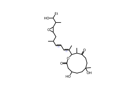 CCC(O)C(C)C1OC1CC(C)/C=C/C=C(\C)C1OC(=O)CC(O)CCC(C)(O)CCC(=O)C1C